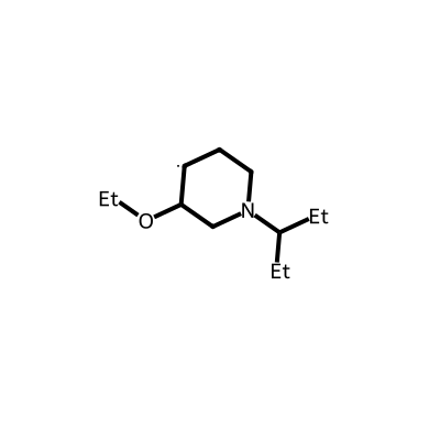 CCOC1[CH]CCN(C(CC)CC)C1